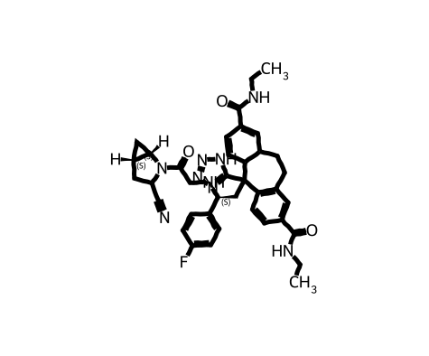 CCNC(=O)C1=CC2CCc3cc(C(=O)NCC)ccc3C(C[C@H](NCC(=O)N3C(C#N)C[C@@H]4C[C@@H]43)c3ccc(F)cc3)(c3nnn[nH]3)C2C=C1